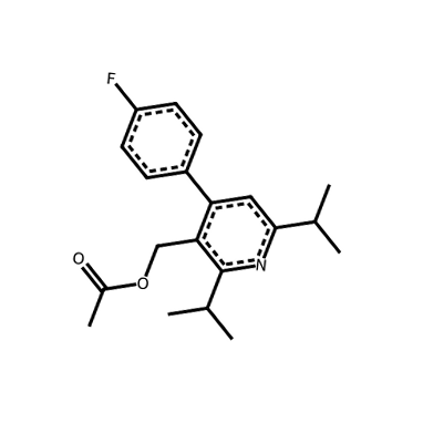 CC(=O)OCc1c(-c2ccc(F)cc2)cc(C(C)C)nc1C(C)C